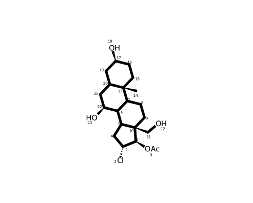 CC(=O)O[C@H]1[C@H](Cl)CC2C3C(CC[C@@]21CO)[C@@]1(C)CC[C@H](O)CC1C[C@@H]3O